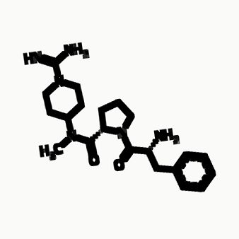 CN(C(=O)[C@@H]1CCCN1C(=O)[C@H](N)Cc1ccccc1)C1CCN(C(=N)N)CC1